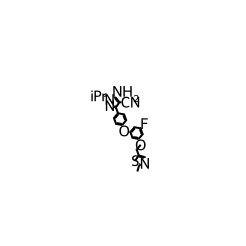 Cc1ncc(COc2cc(F)cc(Oc3ccc(-c4nn(C(C)C)c(N)c4C#N)cc3)c2)s1